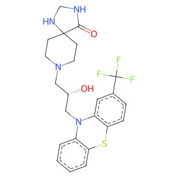 O=C1NCNC12CCN(C[C@H](O)CN1c3ccccc3Sc3ccc(C(F)(F)F)cc31)CC2